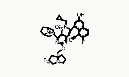 C#Cc1c(F)ccc2cc(O)cc(C3=Cc4nc(OC[C@@]56CCCN5C[C@H](F)C6)nc(N5CC6CCC(C5)N6)c4[S+]([O-])N3CC3CC3)c12